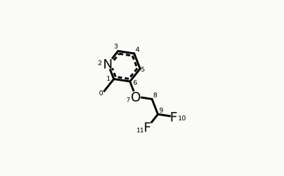 Cc1ncccc1OCC(F)F